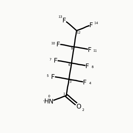 [NH]C(=O)C(F)(F)C(F)(F)C(F)(F)C(F)F